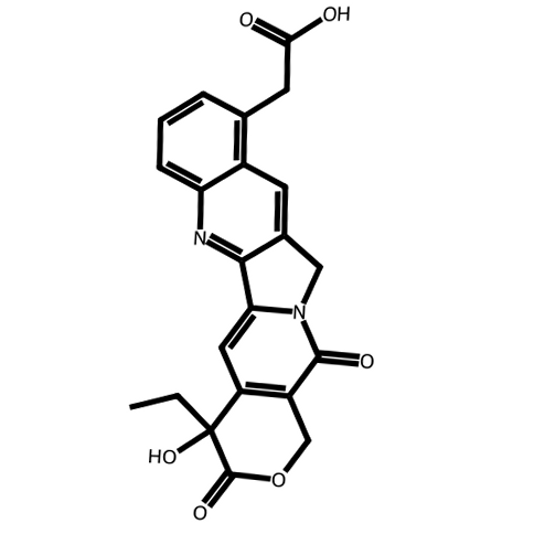 CCC1(O)C(=O)OCc2c1cc1n(c2=O)Cc2cc3c(CC(=O)O)cccc3nc2-1